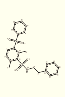 Cc1ccc(S(=O)(=O)c2ccccc2)c(C)c1S(=O)(=O)NCCc1ccccn1